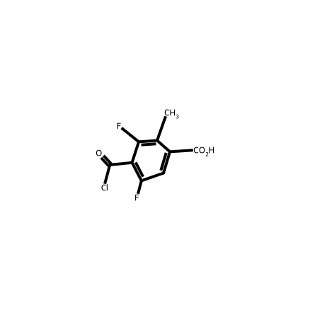 Cc1c(C(=O)O)cc(F)c(C(=O)Cl)c1F